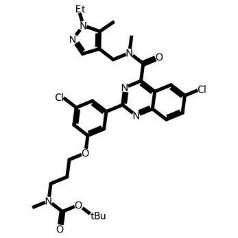 CCn1ncc(CN(C)C(=O)c2nc(-c3cc(Cl)cc(OCCCN(C)C(=O)OC(C)(C)C)c3)nc3ccc(Cl)cc23)c1C